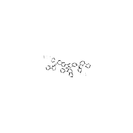 Cc1ccc(N(c2ccc3cc4c(cc3c2)C2(c3cc5cc(N(c6ccc(C)cc6)c6cccc7c6oc6ccccc67)ccc5cc3-4)c3ccccc3-c3c2ccc2ccccc32)c2cccc3c2oc2ccccc23)cc1